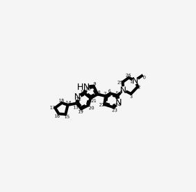 CN1CCN(c2cc(-c3c[nH]c4nc(C5CCCC5)ccc34)ccn2)CC1